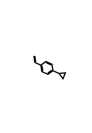 C=Cc1c[c]c(C2CC2)cc1